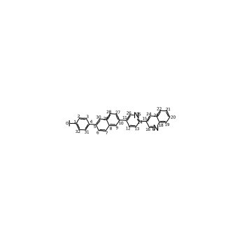 Ic1ccc(-c2ccc3cc(-c4ccc(-c5cnc6ccccc6c5)nc4)ccc3c2)cc1